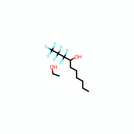 CCCCCCC(O)C(F)(F)C(F)(F)C(F)(F)F.CCO